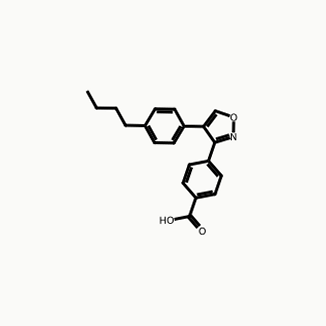 CCCCc1ccc(-c2conc2-c2ccc(C(=O)O)cc2)cc1